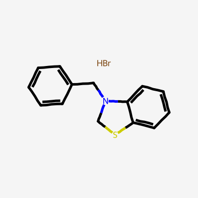 Br.c1ccc(CN2CSc3ccccc32)cc1